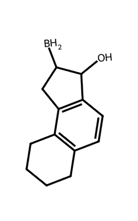 BC1Cc2c(ccc3c2CCCC3)C1O